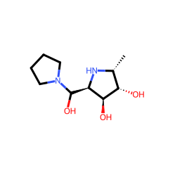 C[C@H]1N[C@H](C(O)N2CCCC2)[C@H](O)[C@H]1O